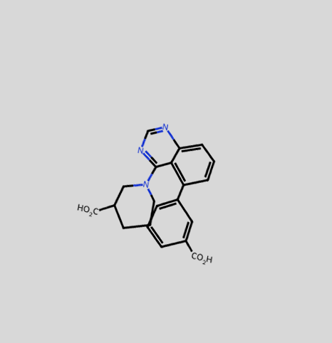 O=C(O)c1cccc(-c2cccc3ncnc(N4CCCC(C(=O)O)C4)c23)c1